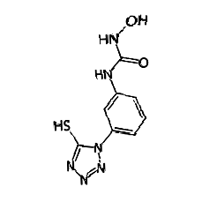 O=C(NO)Nc1cccc(-n2nnnc2S)c1